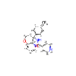 O=C(NC1(c2ccc(C(F)(F)F)cc2)CCOc2cccnc21)c1ccncc1